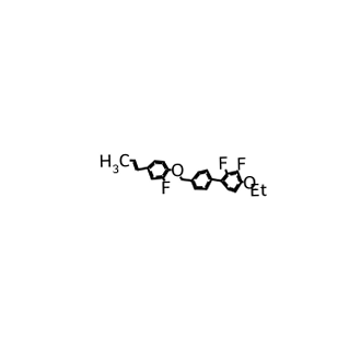 C/C=C/c1ccc(OCc2ccc(-c3ccc(OCC)c(F)c3F)cc2)c(F)c1